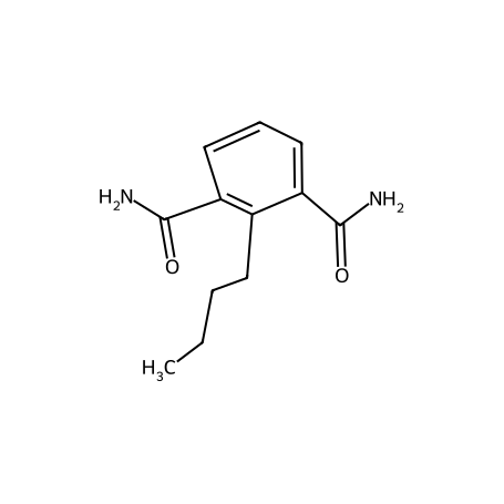 CCCCc1c(C(N)=O)cccc1C(N)=O